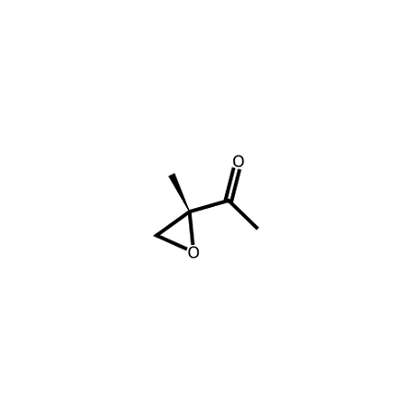 CC(=O)[C@@]1(C)CO1